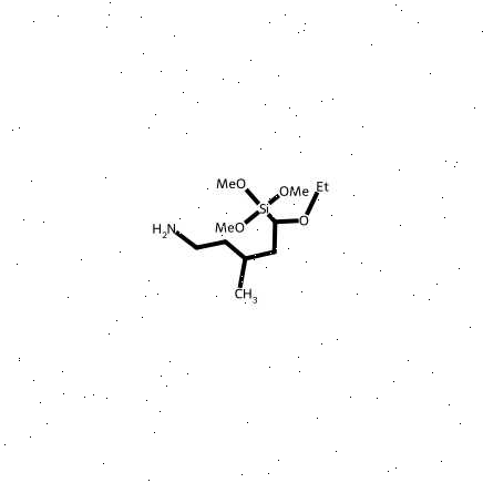 CCOC(CC(C)CCN)[Si](OC)(OC)OC